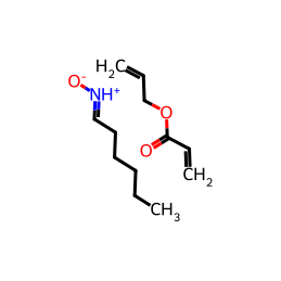 C=CCOC(=O)C=C.CCCCCC=[NH+][O-]